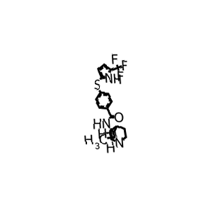 C[C@H]1[C@H](NC(=O)c2ccc(Sc3ccc(C(F)(F)F)[nH]3)cc2)C2CCN1CC2